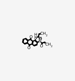 C=CC(=O)Nc1ccc2c(c1NC(=O)C=C)C(=O)c1ccccc1C2=O